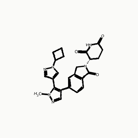 Cn1ncc(-c2ccc3c(c2)CN([C@H]2CCC(=O)NC2=O)C3=O)c1-c1cnn(C2CCC2)c1